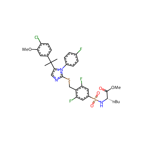 CCCC[C@H](NS(=O)(=O)c1cc(F)c(CSc2ncc(C(C)(C)c3ccc(Cl)c(OC)c3)n2-c2ccc(F)cc2)c(F)c1)C(=O)OC